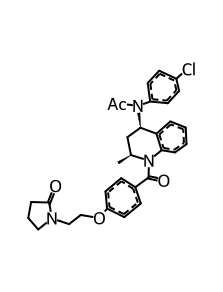 CC(=O)N(c1ccc(Cl)cc1)[C@@H]1C[C@H](C)N(C(=O)c2ccc(OCCN3CCCC3=O)cc2)c2ccccc21